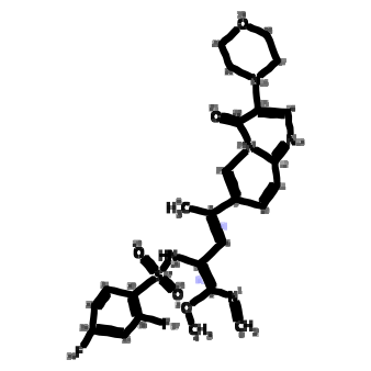 C=N/C(OC)=C(\C=C(/C)c1ccc2ncc(N3CCOCC3)c(=O)n2c1)NS(=O)(=O)c1ccc(F)cc1F